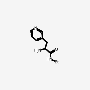 CCNC(=O)C(N)Cc1cccnc1